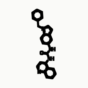 O=C(Nc1ccc2c(ccn2Cc2ccccc2)c1)Nc1ccnc2ccccc12